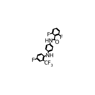 O=C(Nc1ccc(Nc2ccc(F)cc2C(F)(F)F)cc1)c1c(F)cccc1F